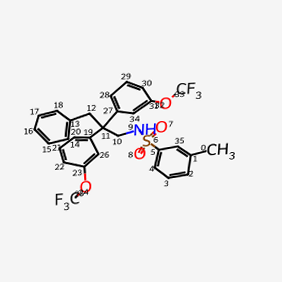 Cc1cccc(S(=O)(=O)NCC(Cc2ccccc2)(c2cccc(OC(F)(F)F)c2)c2cccc(OC(F)(F)F)c2)c1